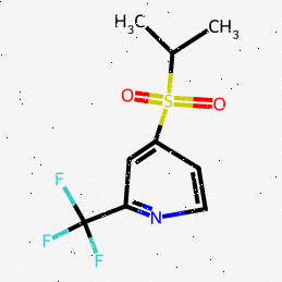 CC(C)S(=O)(=O)c1ccnc(C(F)(F)F)c1